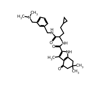 Cc1c(C(=O)NC(CCC2CC2)C(=O)NCc2cccc(CN(C)C)c2)[nH]c2c1C(=O)CC(C)(C)C2